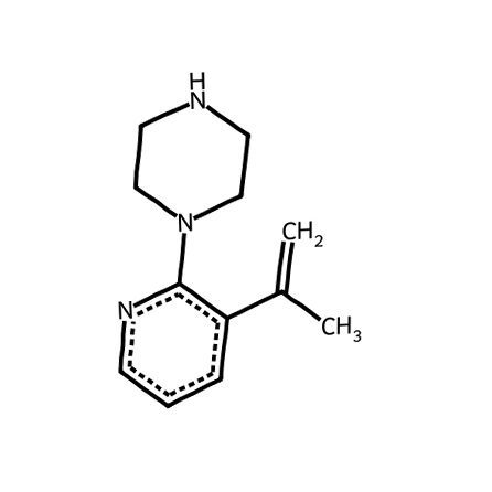 C=C(C)c1cccnc1N1CCNCC1